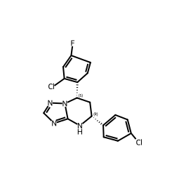 Fc1ccc([C@@H]2C[C@H](c3ccc(Cl)cc3)Nc3ncnn32)c(Cl)c1